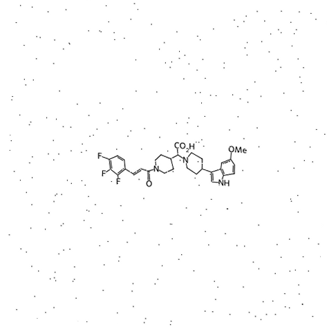 COc1ccc2[nH]cc(C3CCN(C(C(=O)O)C4CCN(C(=O)C=Cc5ccc(F)c(F)c5F)CC4)CC3)c2c1